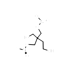 CCCC(CO)(CO[N+](=O)[O-])CO[N+](=O)[O-]